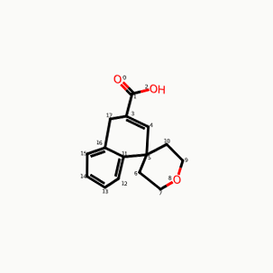 O=C(O)C1=CC2(CCOCC2)c2ccccc2C1